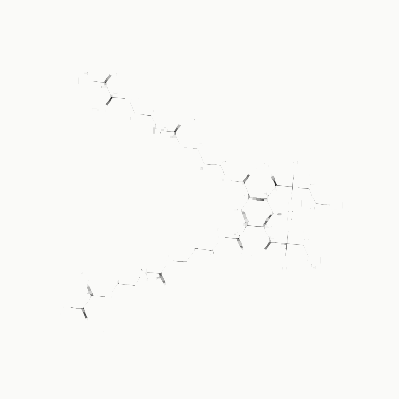 C=C(C)C(=O)OCCNC(=O)OCCCOC(=O)c1cc(C(=O)OCCCOC(=O)NCCOC(=O)C(=C)C)c(C(=O)C(C)(C)CCC)cc1C(=O)C(C)(C)CC